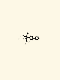 CCOC(=O)c1c(-c2ccc(-c3cccc(F)c3)cc2)c(C#N)c(CC)n1C